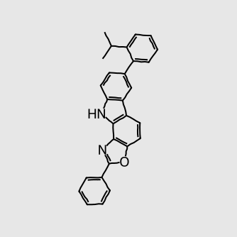 CC(C)c1ccccc1-c1ccc2[nH]c3c(ccc4oc(-c5ccccc5)nc43)c2c1